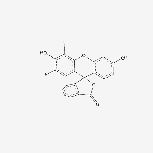 O=C1OC2(c3ccc(O)cc3Oc3c2cc(I)c(O)c3I)c2ccccc21